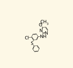 COc1ccnc(Nc2ccc(Cl)c(Sc3ccccc3)c2)n1